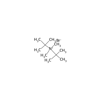 CC(C)(C)[N+](C)(C)C(C)(C)C.[Br-]